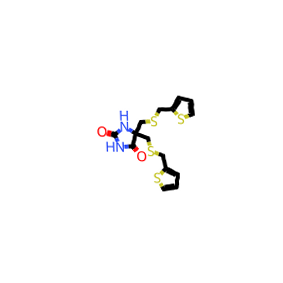 O=C1NC(=O)C(CSCc2cccs2)(CSCc2cccs2)N1